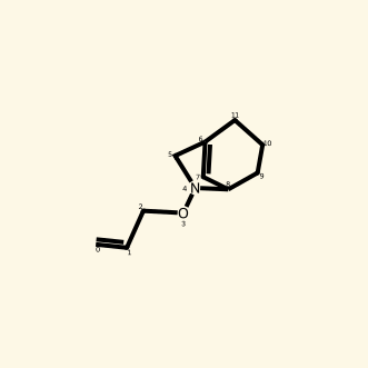 C=CCON1[CH]C2=CC1CCC2